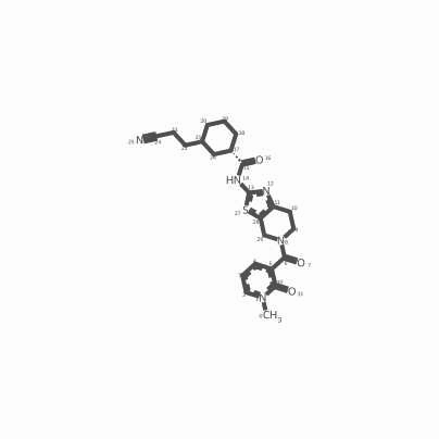 Cn1cccc(C(=O)N2CCc3nc(NC(=O)[C@H]4CCCC(CCC#N)C4)sc3C2)c1=O